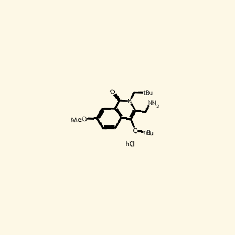 CCCCOc1c(CN)n(CC(C)(C)C)c(=O)c2cc(OC)ccc12.Cl